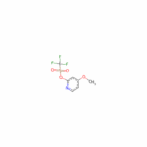 COc1ccnc(OS(=O)(=O)C(F)(F)F)c1